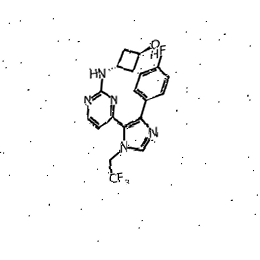 O[C@H]1C[C@H](Nc2nccc(-c3c(-c4ccc(F)cc4)ncn3CC(F)(F)F)n2)C1